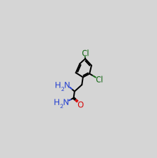 NC(=O)C(N)Cc1ccc(Cl)cc1Cl